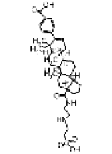 CC1(C)C(c2ccc(C(=O)O)cc2)=CC[C@]2(C)[C@H]3CC[C@@H]4[C@H]5CCC[C@]5(C(=O)NCCNCCS(=O)(=O)O)CC[C@@]4(C)[C@]3(C)CC[C@@H]12